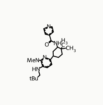 CNc1nc(C2CCC(C)(C)C(NC(=O)c3ccncc3)C2)ccc1NCC(C)(C)C